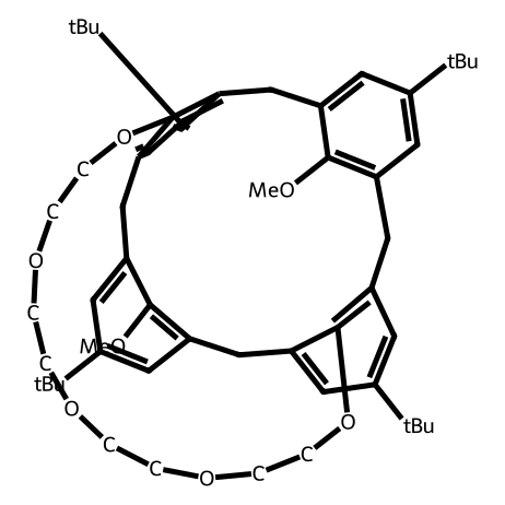 COc1c2cc(C(C)(C)C)cc1Cc1cc(C(C)(C)C)cc3c1OCCOCCOCCOCCOc1c(cc(C(C)(C)C)cc1Cc1cc(C(C)(C)C)cc(c1OC)C3)C2